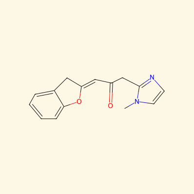 Cn1ccnc1CC(=O)C=C1Cc2ccccc2O1